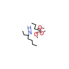 CCCCC(=N)CC.CCC[Si](OC)(OC)OC